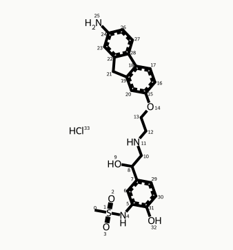 CS(=O)(=O)Nc1cc(C(O)CNCCOc2ccc3c(c2)Cc2cc(N)ccc2-3)ccc1O.Cl